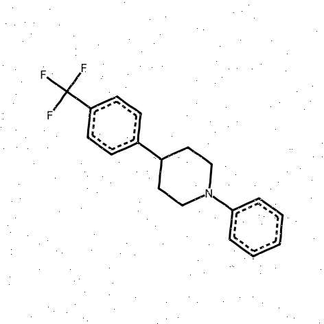 FC(F)(F)c1ccc(C2CCN(c3c[c]ccc3)CC2)cc1